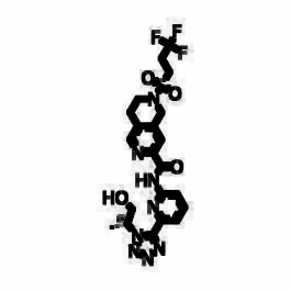 C[C@H](CO)n1nnnc1-c1cccc(NC(=O)c2cc3c(cn2)CCN(S(=O)(=O)CCC(F)(F)F)C3)n1